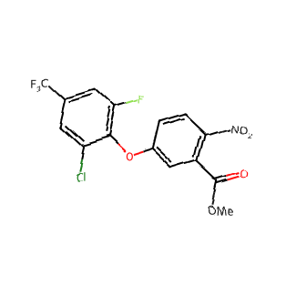 COC(=O)c1cc(Oc2c(F)cc(C(F)(F)F)cc2Cl)ccc1[N+](=O)[O-]